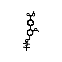 COC(=O)c1ccc(-c2ccc(CO[Si](C)(C)C(C)(C)C)cc2OC)cc1